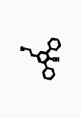 Oc1c(C2CCCCC2)cc(CCBr)cc1C1CCCCC1